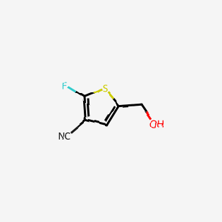 N#Cc1cc(CO)sc1F